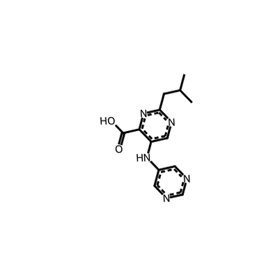 CC(C)Cc1ncc(Nc2cncnc2)c(C(=O)O)n1